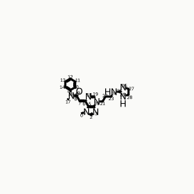 Cn1cnc2c1C(=Cc1oc3ccccc3[n+]1C)N=CN2CCCNC1=NCCN1